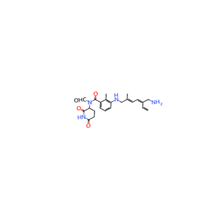 C=C/C(=C\C=C(/C)CNc1cccc(C(=O)N(C=O)C2CCC(=O)NC2=O)c1C)CN